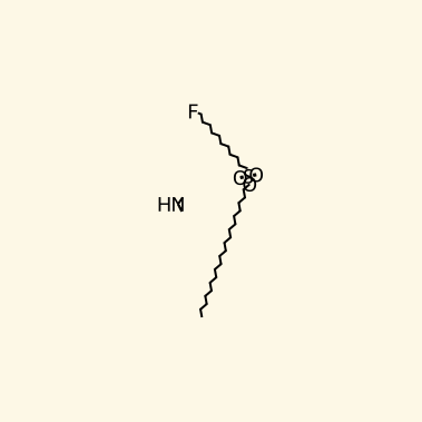 CCCCCCCCCCCCCCCCCCCCOS(=O)(=O)CCCCCCCCCCCF.CNC